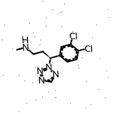 CNCC[C@@H](c1ccc(Cl)c(Cl)c1)n1ncnn1